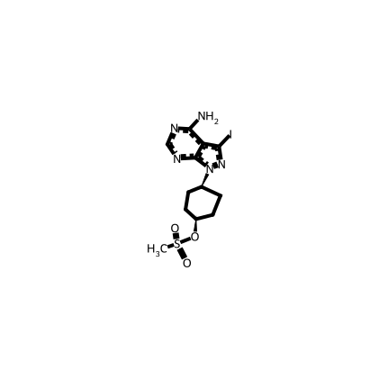 CS(=O)(=O)O[C@H]1CC[C@@H](n2nc(I)c3c(N)ncnc32)CC1